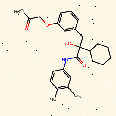 COC(=O)COc1cccc(CC(O)(C(=O)Nc2ccc(C#N)c(C(F)(F)F)c2)C2CCCCC2)c1